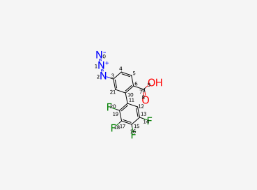 [N-]=[N+]=Nc1ccc(C(=O)O)c(-c2cc(F)c(F)c(F)c2F)c1